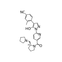 Cc1cc(C#N)ccc1-c1cnn(-c2ccc(C(=O)N3CCC[C@H]3CN3CCCC3)cn2)c1O